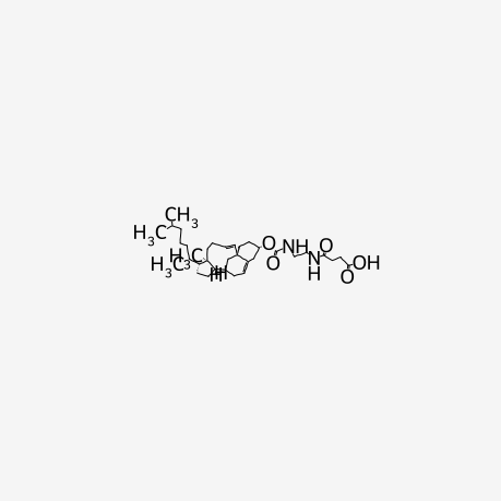 CC(C)CCC[C@@H](C)[C@H]1CC[C@H]2[C@@H]3CC=C4C[C@@H](OC(=O)NCCNC(=O)CCC(=O)O)CC[C@]4(/C=C/CC[C@]12C)C3